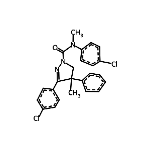 CN(C(=O)N1CC(C)(c2ccccc2)C(c2ccc(Cl)cc2)=N1)c1ccc(Cl)cc1